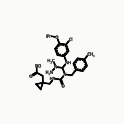 Cc1ccc(CN(C(=O)NCC2(CC(=O)N=O)CC2)C(Nc2ccc(OC(C)C)c(Cl)c2)N(C)N)cc1